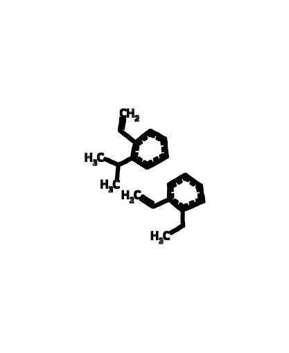 C=Cc1ccccc1C(C)C.C=Cc1ccccc1CC